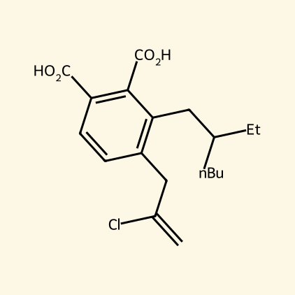 C=C(Cl)Cc1ccc(C(=O)O)c(C(=O)O)c1CC(CC)CCCC